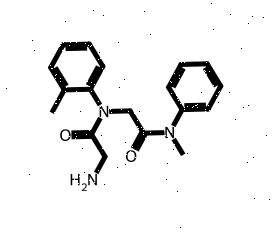 Cc1ccccc1N(CC(=O)N(C)c1ccccc1)C(=O)CN